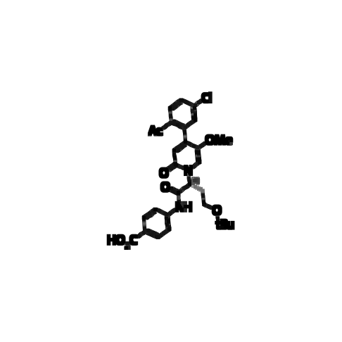 COc1cn([C@H](CCOC(C)(C)C)C(=O)Nc2ccc(C(=O)O)cc2)c(=O)cc1-c1cc(Cl)ccc1C(C)=O